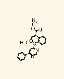 CO/C=C(/C(=O)OC)c1ccccc1Oc1cc(-c2ccccc2)ncn1